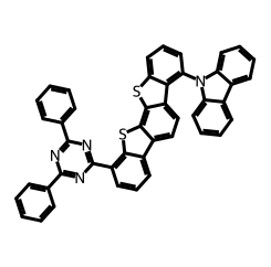 c1ccc(-c2nc(-c3ccccc3)nc(-c3cccc4c3sc3c4ccc4c3sc3cccc(-n5c6ccccc6c6ccccc65)c34)n2)cc1